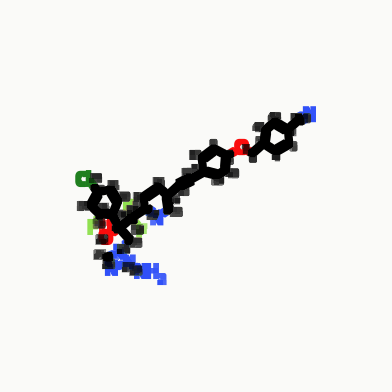 N#Cc1ccc(COc2ccc(C#Cc3ccc(C(F)(F)C(O)(Cn4cnn4N)c4ccc(Cl)cc4F)nc3)cc2)cc1